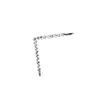 O=S(=O)(O)O.O=S(=O)(O)O.O=S(=O)(O)O.O=S(=O)(O)O.O=S(=O)([O-])[O-].O=S(=O)([O-])[O-].O=S(=O)([O-])[O-].O=S(=O)([O-])[O-].O=S(=O)([O-])[O-].O=S(=O)([O-])[O-].O=S(=O)([O-])[O-].O=S(=O)([O-])[O-].O=S(=O)([O-])[O-].O=S(=O)([O-])[O-].O=S(=O)([O-])[O-].O=S(=O)([O-])[O-].O=S(=O)([O-])[O-].O=S(=O)([O-])[O-].[Mg+2].[Mg+2].[Mg+2].[Mg+2].[Mg+2].[Mg+2].[Mg+2].[Mg+2].[Mg+2].[Mg+2].[Mg+2].[Mg+2].[Mg+2].[Mg+2]